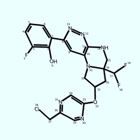 Oc1c(F)cccc1-c1cc2c(nn1)NCC1(C(F)F)CC(Oc3cnc(CCl)cn3)CN21